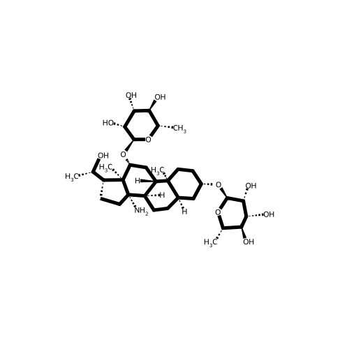 C[C@H](O)[C@H]1CC[C@]2(N)[C@@H]3CC[C@@H]4C[C@@H](O[C@@H]5O[C@@H](C)[C@H](O)[C@@H](O)[C@H]5O)CC[C@]4(C)[C@H]3C[C@@H](O[C@@H]3O[C@@H](C)[C@H](O)[C@@H](O)[C@H]3O)[C@]12C